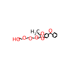 C=CC(=O)C(COCCOCCOCCO)Oc1ccc(C(=O)c2ccccc2)cc1